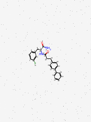 NC(=O)[C@H](Cc1cccc(F)c1)NC(=O)[CH]Cc1ccc(-c2ccccc2)cc1